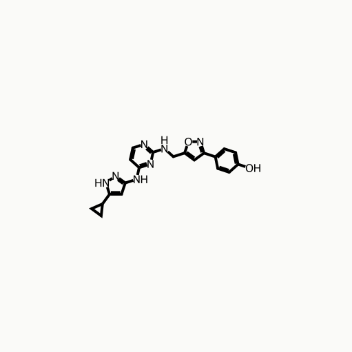 Oc1ccc(-c2cc(CNc3nccc(Nc4cc(C5CC5)[nH]n4)n3)on2)cc1